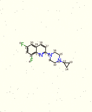 Fc1cc(F)c2nc(N3CCN(C4CC4)CC3)ccc2c1